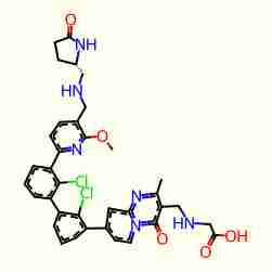 COc1nc(-c2cccc(-c3cccc(-c4ccn5c(=O)c(CNCC(=O)O)c(C)nc5c4)c3Cl)c2Cl)ccc1CNC[C@@H]1CCC(=O)N1